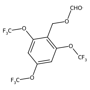 O=[C]OCc1c(OC(F)(F)F)cc(OC(F)(F)F)cc1OC(F)(F)F